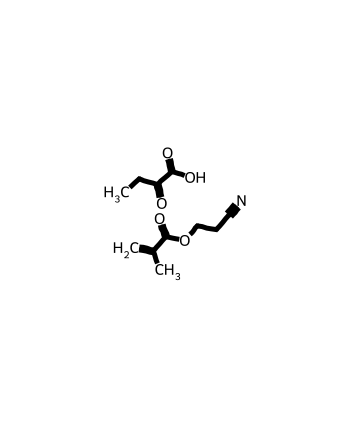 C=C(C)C(=O)OCCC#N.CCC(=O)C(=O)O